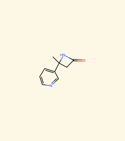 CC1(c2cccnc2)CC(=O)N1